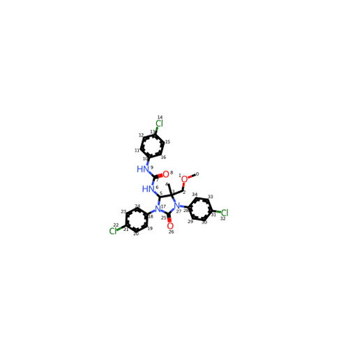 COCC1(C)C(NC(=O)Nc2ccc(Cl)cc2)N(c2ccc(Cl)cc2)C(=O)N1c1ccc(Cl)cc1